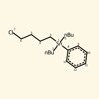 CCC[CH2][Sn]([CH2]CCC)([CH2]CCCCl)[c]1ccccc1